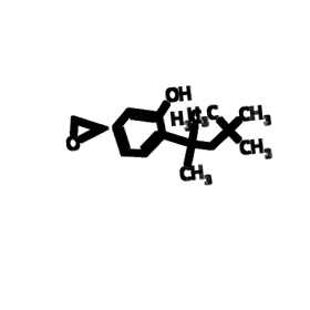 C1CO1.CC(C)(C)CC(C)(C)c1ccccc1O